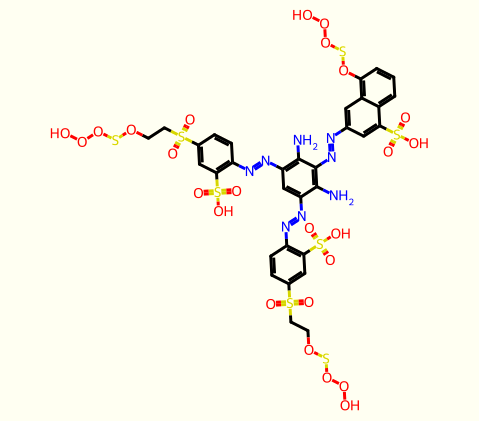 Nc1c(/N=N/c2ccc(S(=O)(=O)CCOSOOO)cc2S(=O)(=O)O)cc(/N=N/c2ccc(S(=O)(=O)CCOSOOO)cc2S(=O)(=O)O)c(N)c1/N=N/c1cc(S(=O)(=O)O)c2cccc(OSOOO)c2c1